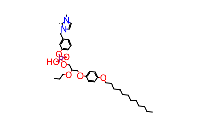 CCCCCCCCCCCCOc1ccc(OCC(COP(=O)(O)Oc2cccc(CN3[CH]N(C)C=C3)c2)OCCC)cc1